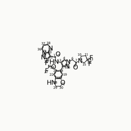 O=C(Nc1cn(CC(=O)N2CCC(F)(F)C2)nc1-c1cc2c(cc1OC(F)F)NCCO2)c1cnn2cccnc12